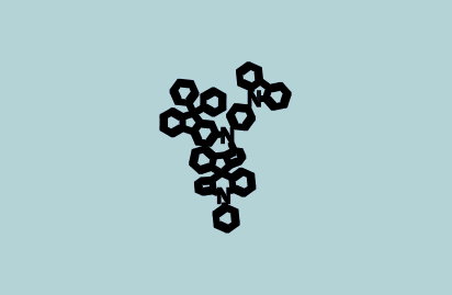 c1ccc(N2c3ccccc3C3(c4ccccc4-c4c(N(c5ccc(-n6c7ccccc7c7ccccc76)cc5)c5ccc6c(c5)C(c5ccccc5)(c5ccccc5)c5ccccc5-6)cccc43)c3ccccc32)cc1